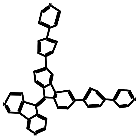 c1cc(-c2ccc(-c3ccc4c(c3)-c3cc(-c5ccc(-c6ccncc6)cc5)ccc3C4=C3c4ccncc4-c4cnccc43)cc2)ccn1